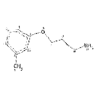 Cc1[c]ccc(OCCCN)c1